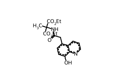 CCOC(=O)C(C)(NC(=O)Cc1ccc(O)c2ncccc12)C(=O)OCC